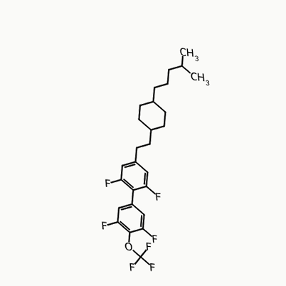 CC(C)CCCC1CCC(CCc2cc(F)c(-c3cc(F)c(OC(F)(F)F)c(F)c3)c(F)c2)CC1